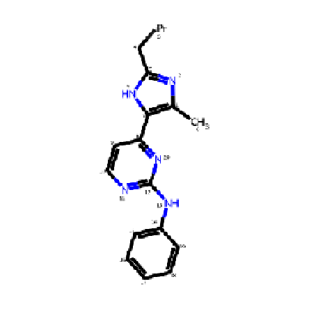 Cc1nc(CC(C)C)[nH]c1-c1ccnc(Nc2ccccc2)n1